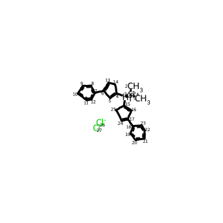 C[Si](C)=[Hf+2]([C]1=CC(c2ccccc2)=CC1)[C]1=CC(c2ccccc2)=CC1.[Cl-].[Cl-]